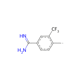 [CH2]c1ccc(C(=N)N)cc1C(F)(F)F